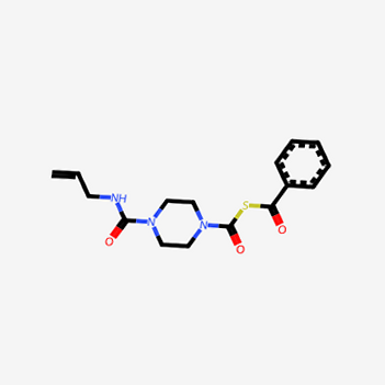 C=CCNC(=O)N1CCN(C(=O)SC(=O)c2ccccc2)CC1